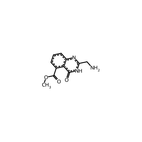 COC(=O)c1cccc2nc(CN)[nH]c(=O)c12